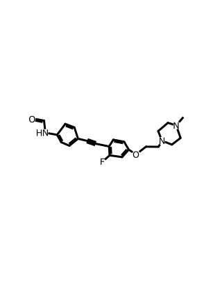 CN1CCN(CCOc2ccc(C#Cc3ccc(NC=O)cc3)c(F)c2)CC1